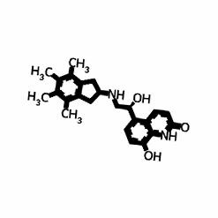 Cc1c(C)c(C)c2c(c1C)CC(NC[C@@H](O)c1ccc(O)c3[nH]c(=O)ccc13)C2